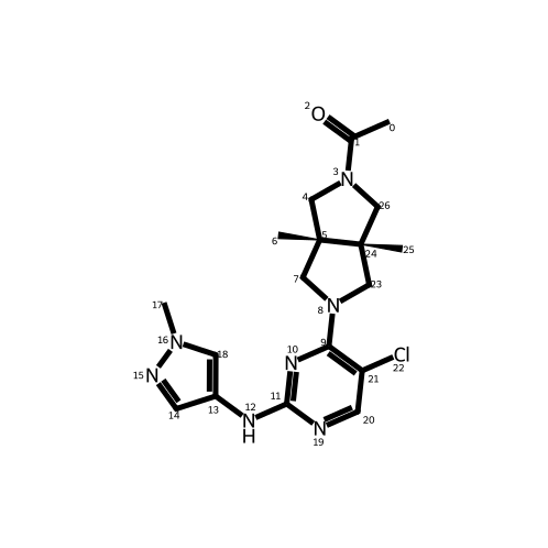 CC(=O)N1C[C@@]2(C)CN(c3nc(Nc4cnn(C)c4)ncc3Cl)C[C@@]2(C)C1